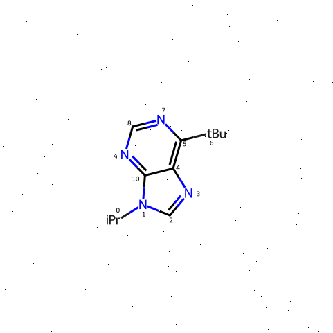 CC(C)n1cnc2c(C(C)(C)C)ncnc21